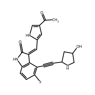 CC(=O)c1c[nH]c(C=C2C(=O)Nc3ccc(F)c(C#CC4CC(O)CN4)c32)c1